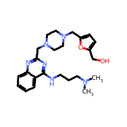 CN(C)CCCNc1nc(CN2CCN(Cc3ccc(CO)o3)CC2)nc2ccccc12